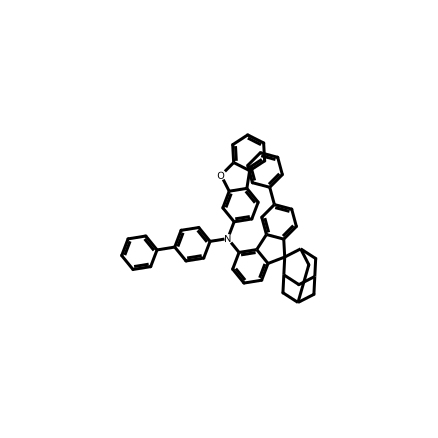 c1ccc(-c2ccc(N(c3ccc4c(c3)oc3ccccc34)c3cccc4c3-c3cc(-c5ccccc5)ccc3C43C4CC5CC(C4)CC3C5)cc2)cc1